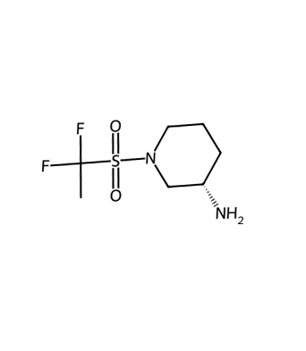 CC(F)(F)S(=O)(=O)N1CCC[C@H](N)C1